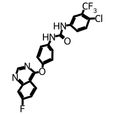 O=C(Nc1ccc(Oc2ncnc3cc(F)ccc23)cc1)Nc1ccc(Cl)c(C(F)(F)F)c1